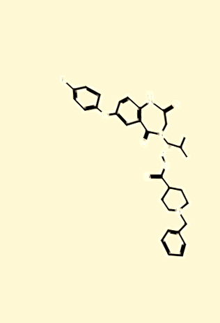 CC(C)[C@H](COC(=O)C1CCN(Cc2ccccc2)CC1)N1CC(=O)Nc2ccc(Oc3ccc(F)cc3)cc2C1=O